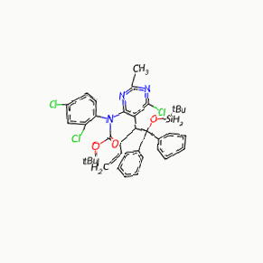 C=CCC(c1c(Cl)nc(C)nc1N(C(=O)OC(C)(C)C)c1ccc(Cl)cc1Cl)C(O[SiH2]C(C)(C)C)(c1ccccc1)c1ccccc1